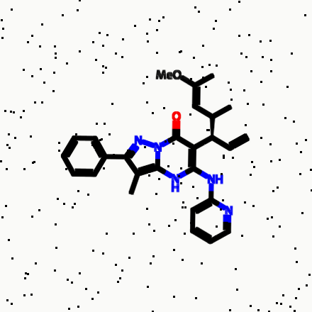 C=C[C@@H](c1c(Nc2ccccn2)[nH]c2c(C)c(-c3ccccc3)nn2c1=O)C(C)/C=C(\C)OC